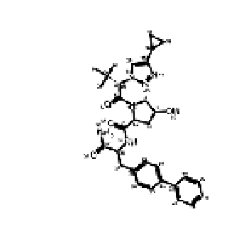 CC(C)(C)[C@@H](C(=O)N1CC(O)CC1C(=O)NC(Cc1ccc(-c2ccccc2)cc1)C(N)=O)n1cc(C2CC2)nn1